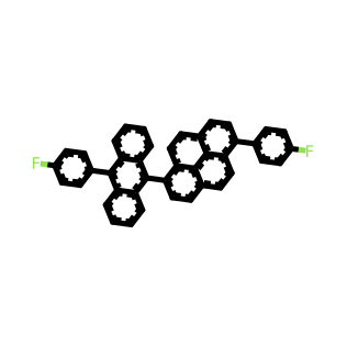 Fc1ccc(-c2c3ccccc3c(-c3ccc4ccc5c(-c6ccc(F)cc6)ccc6ccc3c4c65)c3ccccc23)cc1